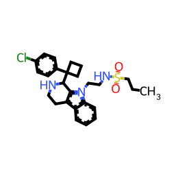 CCCS(=O)(=O)NCCn1c2c(c3ccccc31)CCNC2C1(c2ccc(Cl)cc2)CCC1